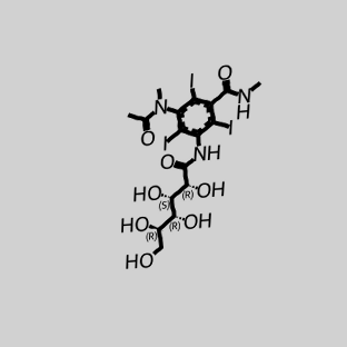 CNC(=O)c1c(I)c(NC(=O)[C@H](O)[C@@H](O)[C@H](O)[C@H](O)CO)c(I)c(N(C)C(C)=O)c1I